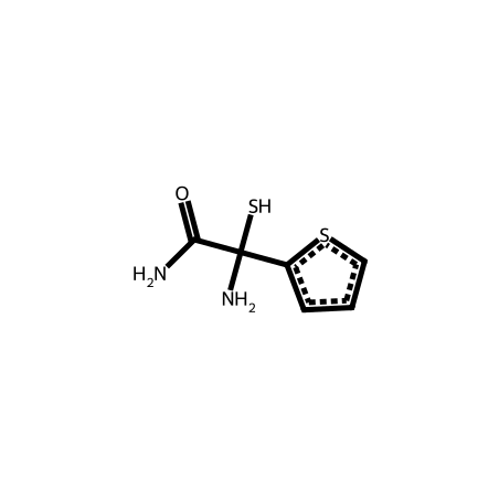 NC(=O)C(N)(S)c1cccs1